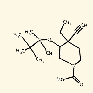 C#CC1(CC)CCN(C(=O)O)CC1O[Si](C)(C)C(C)(C)C